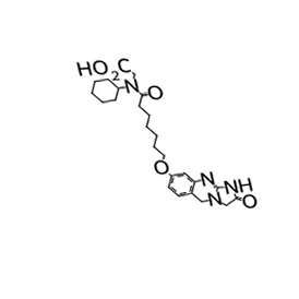 O=C(O)CN(C(=O)CCCCCCOc1ccc2c(c1)N=C1NC(=O)CN1C2)C1CCCCC1